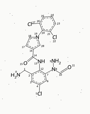 NCc1cc(Cl)cc(N(N)C=O)c1NC(=O)c1ccn(-c2c(Cl)cccc2Cl)c1